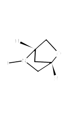 IN1C[C@@H]2C[C@H]1CO2